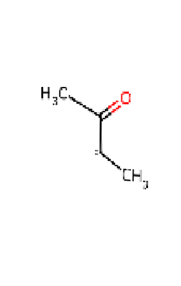 C[C]C(C)=O